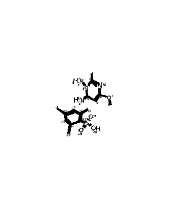 COC1=CC(N)N(N)C(C)=N1.Cc1cc(C)c(S(=O)(=O)O)c(C)c1